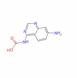 Nc1ccc2c(NC(=O)O)ncnc2c1